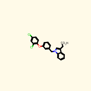 O=C(O)Cc1cn(Cc2cccc(Oc3ccc(Cl)cc3Cl)c2)c2ccccc12